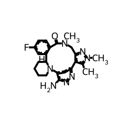 Cc1c2c(nn1C)CN(C)C(=O)c1ccc(F)cc1[C@H]1CCCCN1c1cc-2nnc1N